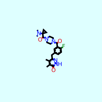 Cc1c(Cc2ccc(F)c(C(=O)N3CCN(C(=O)C4(N(C)C)CC4)CC3)c2)n[nH]c(=O)c1C